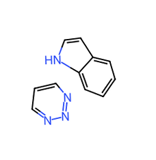 c1ccc2[nH]ccc2c1.c1cnnnc1